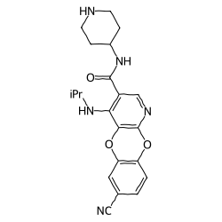 CC(C)Nc1c(C(=O)NC2CCNCC2)cnc2c1Oc1cc(C#N)ccc1O2